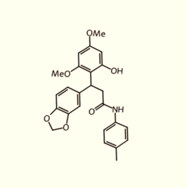 COc1cc(O)c(C(CC(=O)Nc2ccc(C)cc2)c2ccc3c(c2)OCO3)c(OC)c1